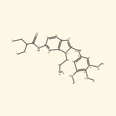 CCC(CC)C(=O)Nc1ccc2nc(Nc3cc(OC)c(OC)c(OC)c3)n(CCN)c2n1